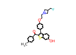 Cc1ccc(C(=O)c2sc3cc(O)ccc3c2-c2ccc(OCCN3CC(CF)C3)cc2)cc1